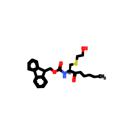 CCCCCC(=O)[C@H](CSCCO)NC(=O)OCC1c2ccccc2-c2ccccc21